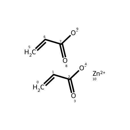 C=CC(=O)[O-].C=CC(=O)[O-].[Zn+2]